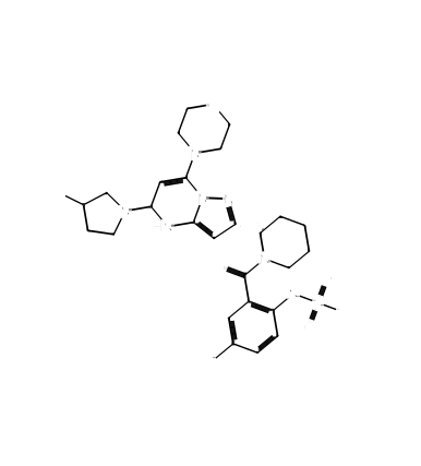 CS(=O)(=O)Nc1ccc(Cl)cc1C(=O)N1CCCC[C@H]1c1cc2n(n1)C(N1CCOCC1)=CC(N1CCC(F)C1)N2